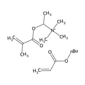 C=C(C)C(=O)OC(C)[N+](C)(C)C.C=CC(=O)OCCCC